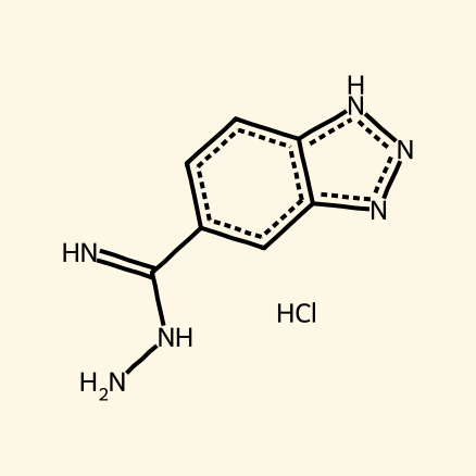 Cl.N=C(NN)c1ccc2[nH]nnc2c1